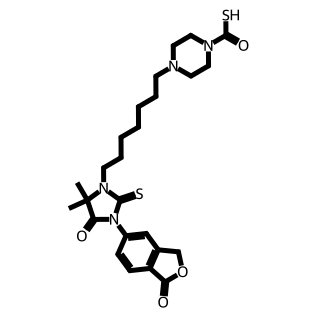 CC1(C)C(=O)N(c2ccc3c(c2)COC3=O)C(=S)N1CCCCCCCN1CCN(C(=O)S)CC1